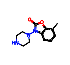 Cc1cccc2c1oc(=O)n2N1CCNCC1